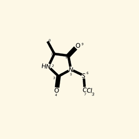 CC1NC(=O)N(SC(Cl)(Cl)Cl)C1=O